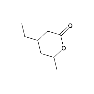 CCC1CC(=O)OC(C)C1